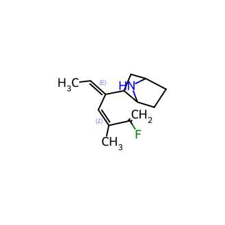 C=C(F)/C(C)=C\C(=C/C)C1CC2CCC1N2